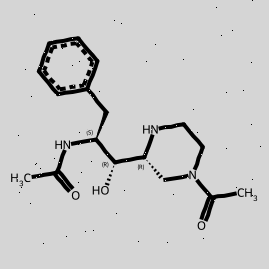 CC(=O)N[C@@H](Cc1ccccc1)[C@@H](O)[C@H]1CN(C(C)=O)CCN1